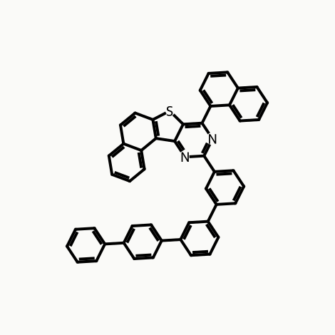 c1ccc(-c2ccc(-c3cccc(-c4cccc(-c5nc(-c6cccc7ccccc67)c6sc7ccc8ccccc8c7c6n5)c4)c3)cc2)cc1